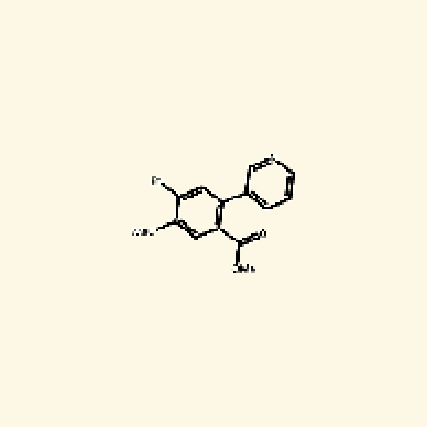 CCc1cc(-c2cccnc2)c(C(=O)OC)cc1OC